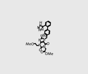 CCCCc1nc2c(c(=O)n(CC(=O)OC)c(=O)n2CCOC)n1Cc1ccc(-c2ccccc2-c2nnn[nH]2)cc1